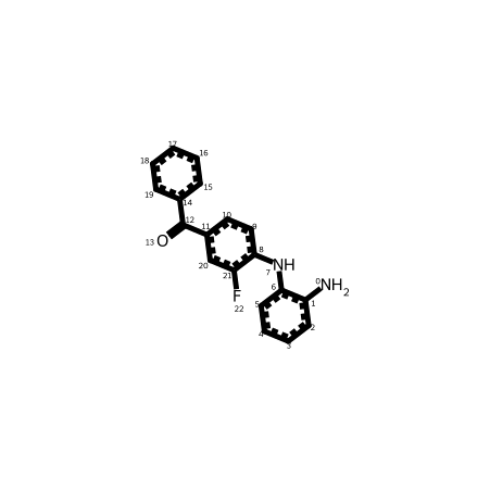 Nc1ccccc1Nc1ccc(C(=O)c2ccccc2)cc1F